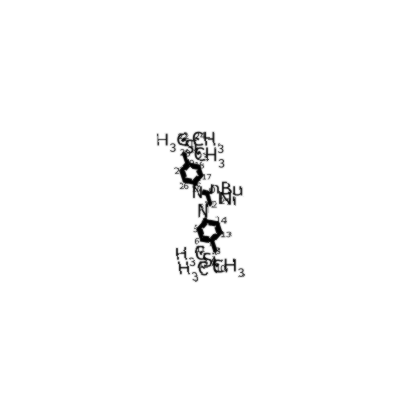 CCCCC(C=Nc1ccc(C[Si](C)(C)C)cc1)=Nc1ccc(C[Si](C)(C)C)cc1.[Ni]